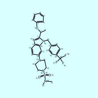 CC(Oc1ccccc1)c1nc2ccc(N3CCN(S(=O)(=O)N(C)C)CC3)cc2n1Cc1ccc(C(F)(F)F)cc1